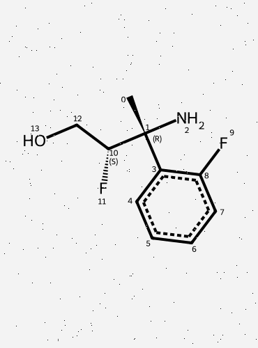 C[C@@](N)(c1ccccc1F)[C@H](F)CO